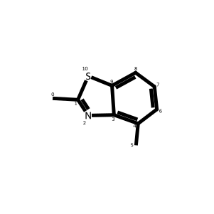 Cc1nc2c(C)cccc2s1